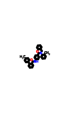 Cc1ccc(-c2ccccc2C(=O)Nc2ccc(C(=O)N(Cc3ccccc3)c3ccccc3C)cc2)cc1